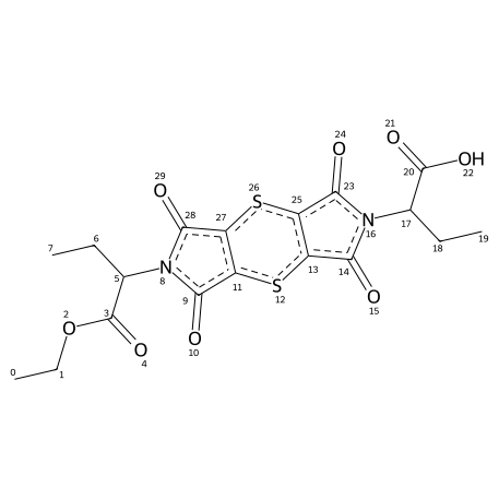 CCOC(=O)C(CC)n1c(=O)c2sc3c(=O)n(C(CC)C(=O)O)c(=O)c3sc2c1=O